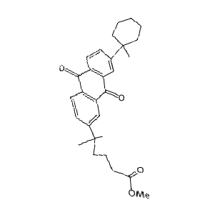 COC(=O)CCCC(C)(C)c1ccc2c(c1)C(=O)c1cc(C3(C)CCCCC3)ccc1C2=O